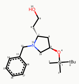 CC(C)(C)[Si](C)(C)O[C@@H]1C[C@@H](CCO)N(Cc2ccccc2)C1